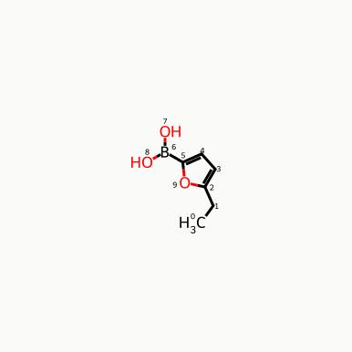 CCc1ccc(B(O)O)o1